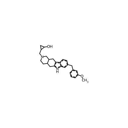 COc1cccc(Cc2ccc3c4c([nH]c3c2)CC2CCN(CC3CC3O)CC2C4)c1